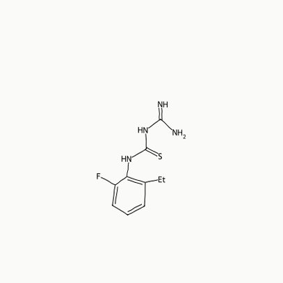 CCc1cccc(F)c1NC(=S)NC(=N)N